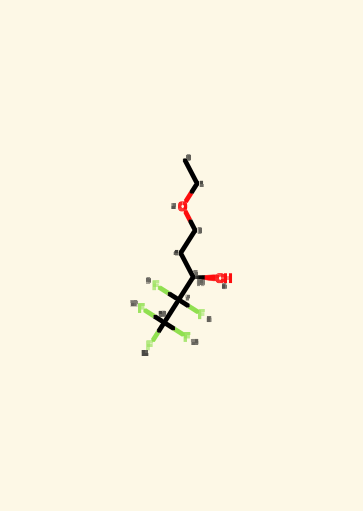 CCOCC[C@@H](O)C(F)(F)C(F)(F)F